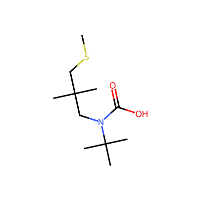 CSCC(C)(C)CN(C(=O)O)C(C)(C)C